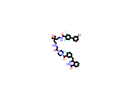 CCc1cccc(-c2cc(F)c(C(=O)NCCC3(CCNCC(=O)N4CCN(C(=O)c5cc(Cc6n[nH]c(=O)c7ccccc67)ccc5F)CC4)COC3)c(F)c2)c1